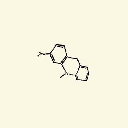 CC(C)c1ccc2c(c1)N(C)c1ccccc1C2